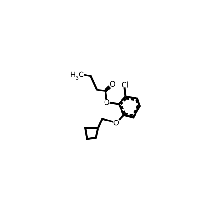 CCCC(=O)Oc1c(Cl)cccc1OCC1CCC1